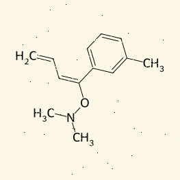 C=C/C=C(/ON(C)C)c1cccc(C)c1